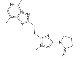 Cc1cnc(C)n2nc(CCc3nc(N4CCCC4=O)cn3C)nc12